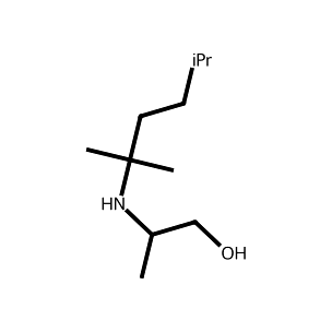 CC(C)CCC(C)(C)NC(C)CO